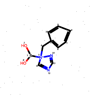 OB(O)[N+]1(Cc2ccccc2)C=NC=N1